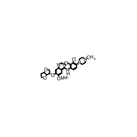 COc1cc2c(Nc3ccc(N4CCN(C)CC4)c(Cl)c3Cl)ncnc2cc1O[C@@H]1COC2CCOC21